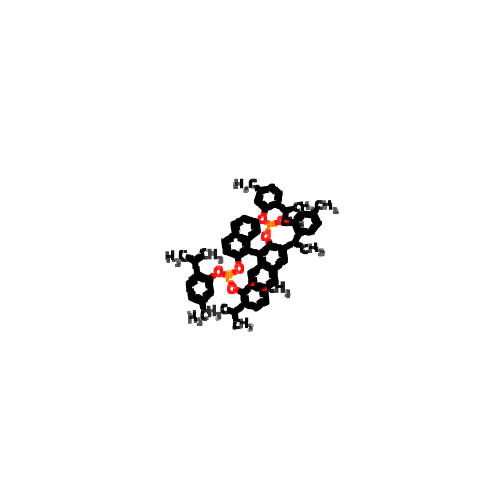 Cc1ccc(C(C)C)c(OP(Oc2cc(C)ccc2C(C)C)Oc2ccc3ccccc3c2-c2c3c(cc4ccccc24)C(C)c2ccc(C)cc2OP(Oc2cc(C)ccc2C(C)C)O3)c1